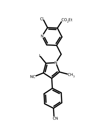 CCOC(=O)c1cc(Cn2c(C)c(-c3ccc(C#N)cc3)c(C#N)c2I)cnc1Cl